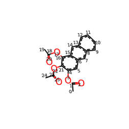 CC(=O)Oc1cc2cc3ccccc3cc2c(OC(C)=O)c1OC(C)=O